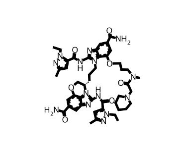 CCn1nc(C)cc1C(=O)Nc1nc2cc(C(N)=O)cc(OCCCN(C)C(=O)CN3CCCCC3)c2n1CCC[C@H]1COc2cc(C(N)=O)cc3nc(NC(=O)c4cc(C)nn4CC)n1c23